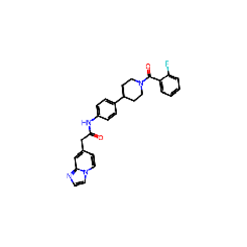 O=C(Cc1ccn2ccnc2c1)Nc1ccc(C2CCN(C(=O)c3ccccc3F)CC2)cc1